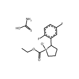 CCOC(=O)[N+]1([O-])CCCC1c1cc(F)ccc1F.NC(O)=S